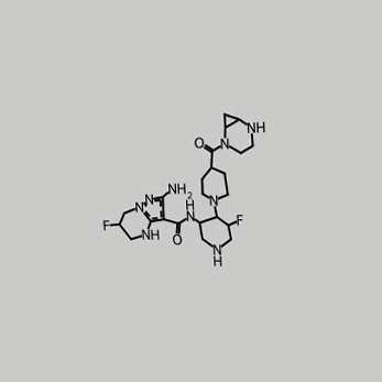 Nc1nn2c(c1C(=O)NC1CNCC(F)C1N1CCC(C(=O)N3CCNC4CC43)CC1)NCC(F)C2